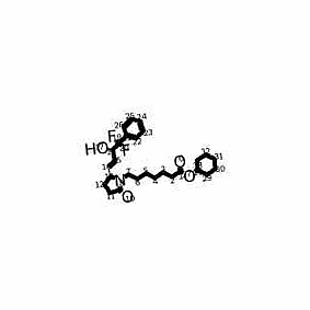 O=C(CCCCCCN1C(=O)CC[C@@H]1C=C[C@@H](O)C(F)(F)c1ccccc1)OC1CCCCC1